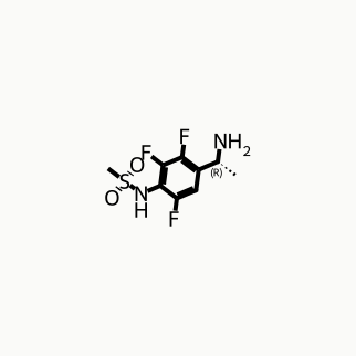 C[C@@H](N)c1cc(F)c(NS(C)(=O)=O)c(F)c1F